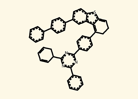 C1=CCC(c2nc(-c3ccccc3)nc(-c3ccc(C4=c5c(sc6ccc(-c7ccc(-c8ccccc8)cc7)cc56)=CCC4)cc3)n2)C=C1